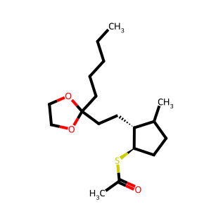 CCCCCC1(CC[C@@H]2C(C)CC[C@H]2SC(C)=O)OCCO1